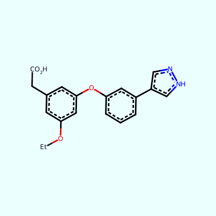 CCOc1cc(CC(=O)O)cc(Oc2cccc(-c3cn[nH]c3)c2)c1